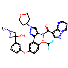 CN1CC(O)(c2cccc(Oc3ccc(OC(F)F)c(-c4nn(C5CCOCC5)cc4NC(=O)c4cnn5cccnc45)c3)c2)C1